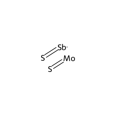 [S]=[Mo].[S]=[Sb]